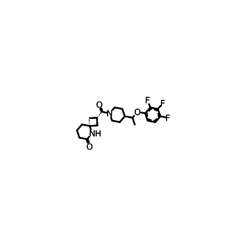 CC(Oc1ccc(F)c(F)c1F)C1CCN(C(=O)[C@H]2C[C@]3(CCCC(=O)N3)C2)CC1